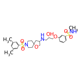 CNS(=O)(=O)c1cccc(OC[C@@H](O)CNC2COC3(CCN(S(=O)(=O)c4cc(C)cc(C)c4)CC3)C2)c1